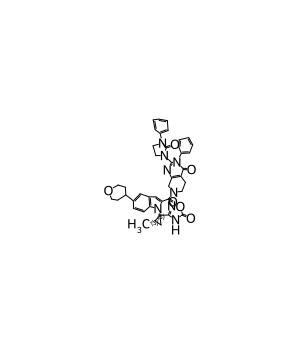 C[C@H]1C[C@]1(c1noc(=O)[nH]1)n1c(C(=O)N2CCc3c(nc(N4CCN(c5ccccc5)C4=O)n(-c4ccccc4)c3=O)C2)cc2cc(C3CCOCC3)ccc21